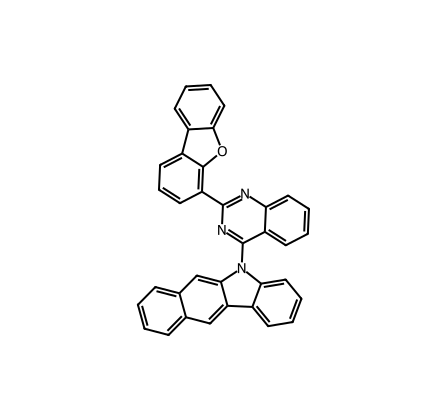 c1ccc2cc3c(cc2c1)c1ccccc1n3-c1nc(-c2cccc3c2oc2ccccc23)nc2ccccc12